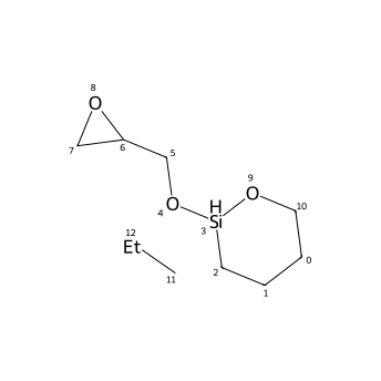 C1CC[SiH](OCC2CO2)OC1.CCC